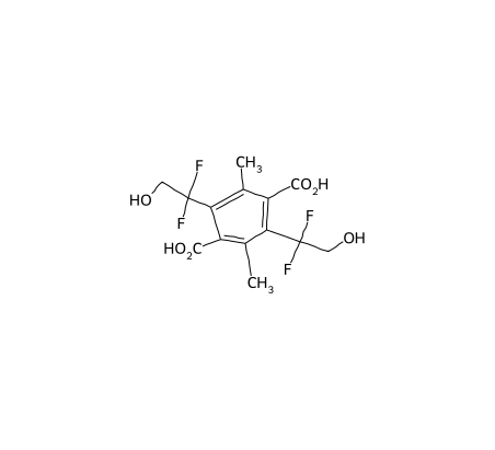 Cc1c(C(=O)O)c(C(F)(F)CO)c(C)c(C(=O)O)c1C(F)(F)CO